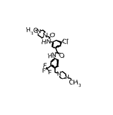 CCN1CCN(Cc2ccc(NC(=O)c3cc(Cl)cc(NC(=O)N4CCN(C)CC4)c3)cc2C(F)(F)F)CC1